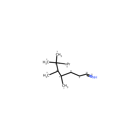 CCCC(C)(C)C(C)C(C)CCC=N